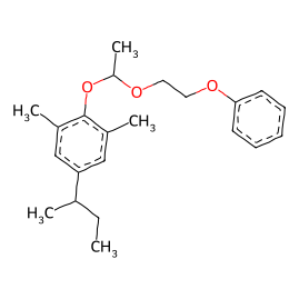 CCC(C)c1cc(C)c(OC(C)OCCOc2ccccc2)c(C)c1